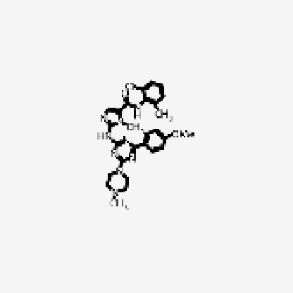 COc1ccc(-c2nc(Nc3ncc(C(=O)Nc4c(C)cccc4Cl)n3C)nc(N3CCN(C)CC3)n2)cc1